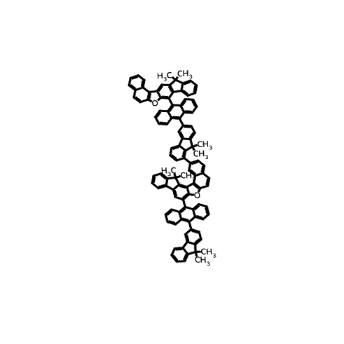 CC1(C)c2ccccc2-c2cc(-c3c4ccccc4c(-c4cc5c(c6c4oc4ccc7ccc(-c8cccc9c8C(C)(C)c8ccc(-c%10c%11ccccc%11c(-c%11c%12c(cc%13c%11oc%11ccc%14ccccc%14c%11%13)C(C)(C)c%11ccccc%11-%12)c%11ccccc%10%11)cc8-9)cc7c46)C(C)(C)c4ccccc4-5)c4ccccc34)ccc21